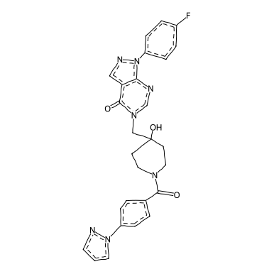 O=C(c1ccc(-n2cccn2)cc1)N1CCC(O)(Cn2cnc3c(cnn3-c3ccc(F)cc3)c2=O)CC1